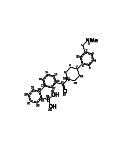 CNCc1cccc(C2CCN(C(=O)c3cccc(-c4ccccc4B(O)O)c3)CC2)c1